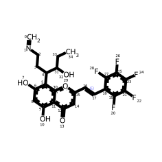 C=NCCC(c1c(O)cc(O)c2c(=O)cc(/C=C/c3c(F)c(F)c(F)c(F)c3F)oc12)C(O)CC